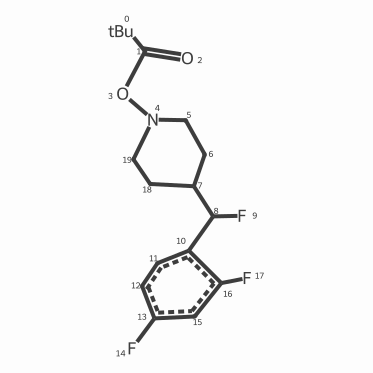 CC(C)(C)C(=O)ON1CCC(C(F)c2ccc(F)cc2F)CC1